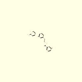 Cc1cccc(C(=O)NCCc2cccc(Oc3ccnc(N)c3)c2)c1